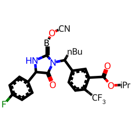 CCCCC(c1ccc(C(F)(F)F)c(C(=O)OC(C)C)c1)N1C(=O)C(c2ccc(F)cc2)NC1=BOC#N